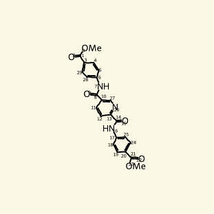 COC(=O)c1ccc(NC(=O)c2ccc(C(=O)Nc3ccc(C(=O)OC)cc3)nc2)cc1